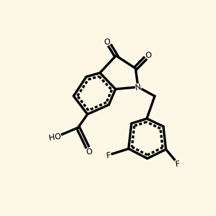 O=C(O)c1ccc2c(c1)N(Cc1cc(F)cc(F)c1)C(=O)C2=O